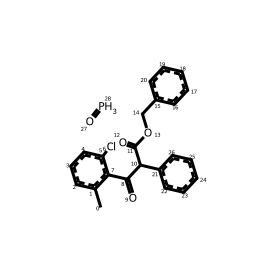 Cc1cccc(Cl)c1C(=O)C(C(=O)OCc1ccccc1)c1ccccc1.O=[PH3]